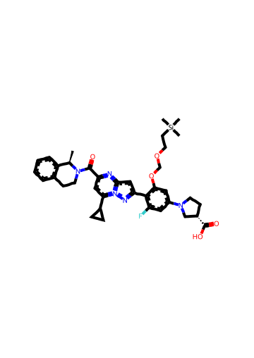 C[C@@H]1c2ccccc2CCN1C(=O)c1cc(C2CC2)n2nc(-c3c(F)cc(N4CC[C@H](C(=O)O)C4)cc3OCOCC[Si](C)(C)C)cc2n1